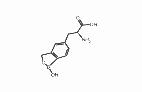 N[C@@H](Cc1ccc2c(c1)COB2O)C(=O)O